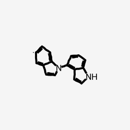 [c]1ccc2c(c1)ccn2-c1cccc2[nH]ccc12